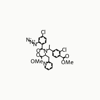 COC(=O)c1ccc(C(C)N(C(=O)c2ccc(Cl)cc2N=[N+]=[N-])C(Cc2ccccn2)C(=O)OC)cc1Cl